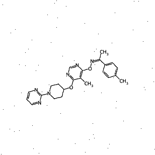 CC(=NOc1ncnc(OC2CCN(c3ncccn3)CC2)c1C)c1ccc(C)cc1